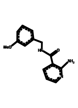 COc1cccc(CNC(=O)c2cccnc2N)c1